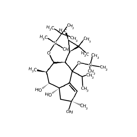 CC(C)C1(O[Si](C)(C)C)C2=C[C@@](C)(O)C[C@@]2(O)[C@H](O)[C@@H](C)C(O[Si](C)(C)C(C)(C)C)[C@H]1[C@H]1[C@@H](C)C1(C)C